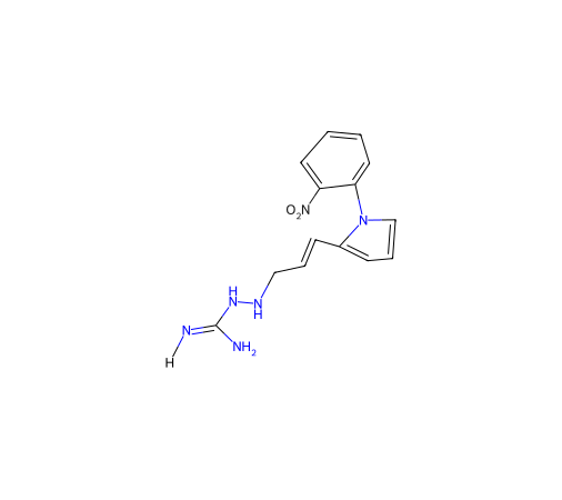 [H]/N=C(\N)NNCC=Cc1cccn1-c1ccccc1[N+](=O)[O-]